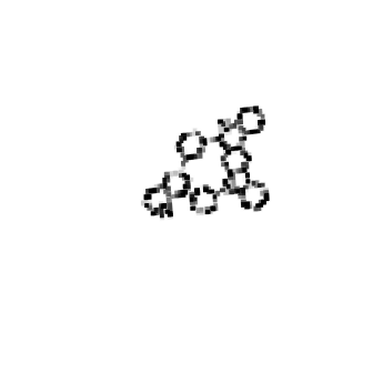 c1ccc(-n2c3ccccc3c3cc4c(cc32)c(-c2cccc(-c3ccc5ncccc5c3)c2)nc2ccccc24)cc1